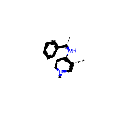 C[C@H](N[C@H]1CCN(C)C[C@H]1C)c1ccccc1